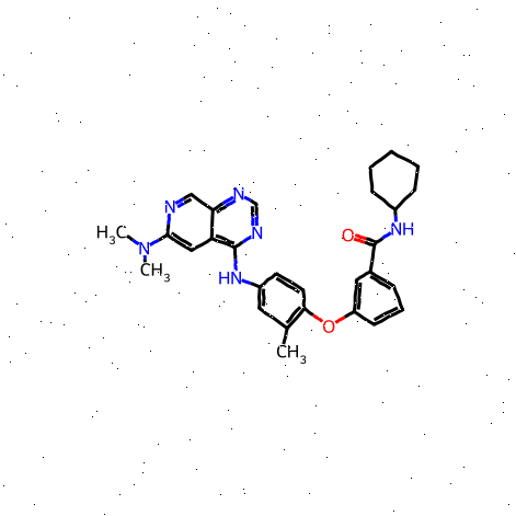 Cc1cc(Nc2ncnc3cnc(N(C)C)cc23)ccc1Oc1cccc(C(=O)NC2CCCCC2)c1